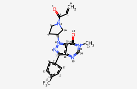 C=CC(=O)N1CCC(n2nc(-c3ccc(C(F)(F)F)cc3)c3ncn(C)c(=O)c32)C1